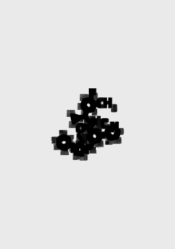 Cc1cc([C@@H](NC(=O)c2cc(Cn3ccn(-c4ccccc4)c3=N)cc(-c3cccnc3C(F)(F)F)c2)C2CC2)ccc1F